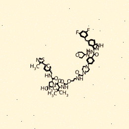 Cc1ncsc1-c1ccc(CNC(=O)[C@@H]2C[C@@H](O)CN2C(=O)[C@@H](NC(=O)COCCNC(=O)CN2CCN(c3ccc(C(=O)Nc4n[nH]c5ccc(Cc6cc(F)cc(F)c6)cc45)c(NC4CCOCC4)c3)CC2)C(C)(C)C)cc1